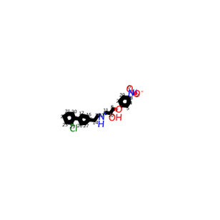 O=[N+]([O-])c1ccc(OCC(O)CNCCc2ccc(-c3ccccc3Cl)cc2)cc1